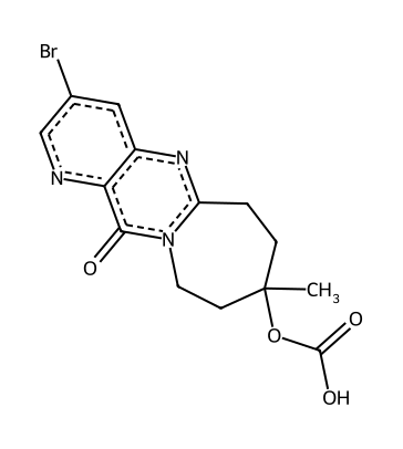 CC1(OC(=O)O)CCc2nc3cc(Br)cnc3c(=O)n2CC1